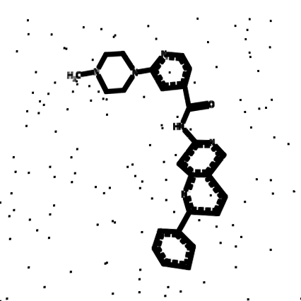 CN1CCN(c2cc(C(=O)Nc3cc4nc(-c5ccccc5)ccc4cn3)ccn2)CC1